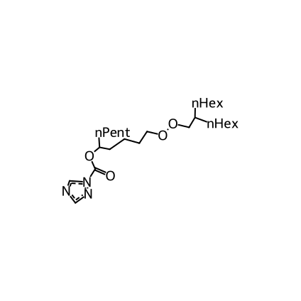 CCCCCCC(CCCCCC)COOCCCCC(CCCCC)OC(=O)n1cncn1